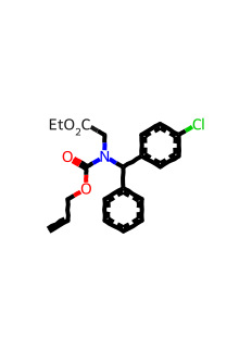 C=CCOC(=O)N(CC(=O)OCC)C(c1ccccc1)c1ccc(Cl)cc1